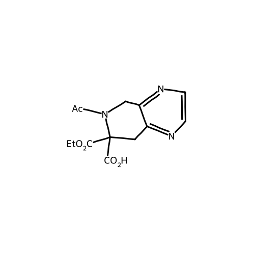 CCOC(=O)C1(C(=O)O)Cc2nccnc2CN1C(C)=O